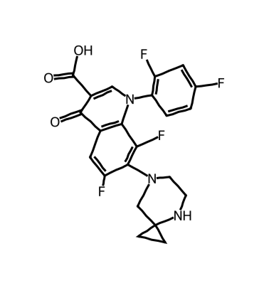 O=C(O)c1cn(-c2ccc(F)cc2F)c2c(F)c(N3CCNC4(CC4)C3)c(F)cc2c1=O